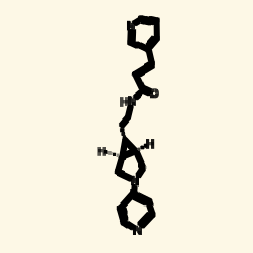 O=C(/C=C/c1cccnc1)NCC[C@@H]1[C@H]2CN(c3ccncc3)C[C@@H]12